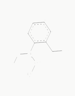 CC(C)O[SiH](OC(C)C)c1ccccc1CCl